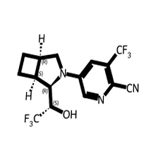 N#Cc1ncc(N2C[C@@H]3CC[C@@H]3[C@@H]2[C@H](O)C(F)(F)F)cc1C(F)(F)F